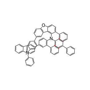 c1ccc(-c2ccc(N(c3ccc(-c4ccccc4)cc3-c3ccccc3)c3c(-c4ccccc4)ccc4oc5ccc(-c6ccc7c(c6)c6ccccc6n7-c6ccccc6)cc5c34)cc2)cc1